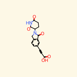 O=C(O)C#Cc1ccc2c(c1)C(=O)N(C1CCC(=O)NC1=O)C2